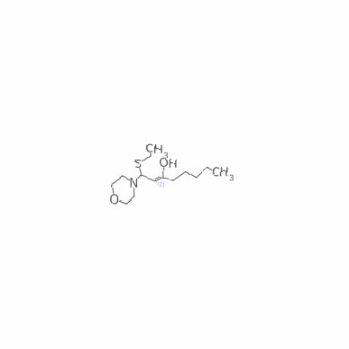 CCCCC/C(O)=C/C(SCC)N1CCOCC1